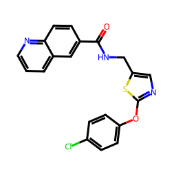 O=C(NCc1cnc(Oc2ccc(Cl)cc2)s1)c1ccc2ncccc2c1